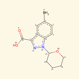 Bc1ccc2c(c1)c(C(=O)O)nn2C1CCCCO1